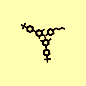 CCCCc1ccc(B(c2c(C)cc(-c3ccc(C(C)(C)C)cc3)cc2C)c2c(C)cc(-c3ccc(C(C)(C)C)cc3)cc2C)cc1